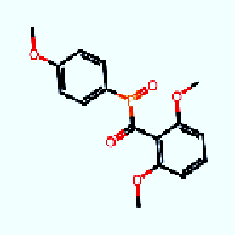 COc1ccc([P](=O)C(=O)c2c(OC)cccc2OC)cc1